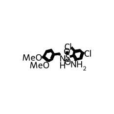 COc1ccc(CNS(=O)(=O)c2c(N)cc(Cl)cc2Cl)cc1OC